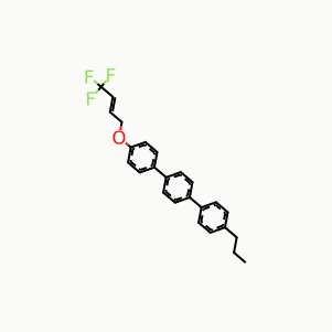 CCCc1ccc(-c2ccc(-c3ccc(OCC=CC(F)(F)F)cc3)cc2)cc1